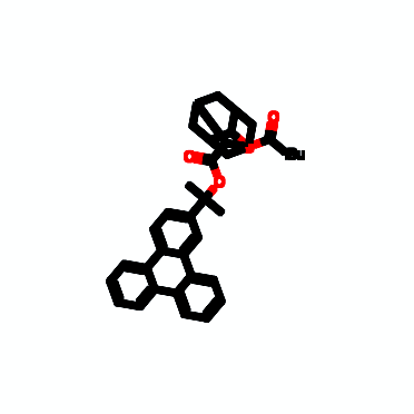 CCC(C)C(=O)OC1C2CC3CC1CC(C2)C3C(=O)OC(C)(C)c1ccc2c3ccccc3c3ccccc3c2c1